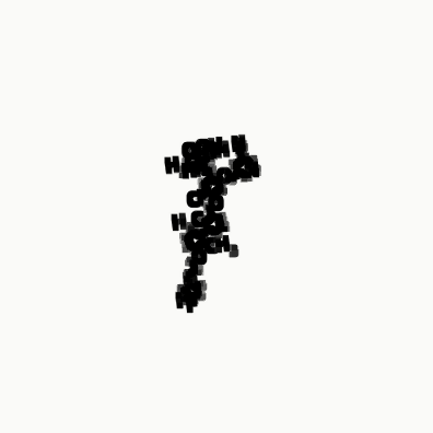 Cc1c(COc2cc(OCc3cncc(C#N)c3)c(CNC(C)(CO)C(=O)O)cc2Cl)cccc1-c1cccc(OCCCN2CCC(F)(F)C2)c1C